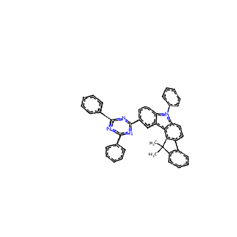 CC1(C)c2ccccc2-c2ccc3c(c21)c1cc(-c2nc(-c4ccccc4)nc(-c4ccccc4)n2)ccc1n3-c1ccccc1